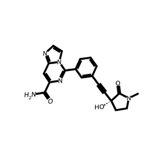 CN1CC[C@@](O)(C#Cc2cccc(-c3nc(C(N)=O)cc4nccn34)c2)C1=O